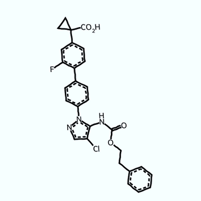 O=C(Nc1c(Cl)cnn1-c1ccc(-c2ccc(C3(C(=O)O)CC3)cc2F)cc1)OCCc1ccccc1